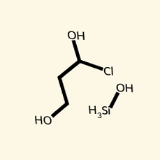 OCCC(O)Cl.O[SiH3]